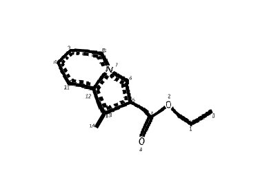 CCOC(=O)c1cn2ccccc2c1C